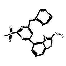 CS(=O)(=O)c1nc(Cc2ccccc2)cc(-c2cccc3sc(N)nc23)n1